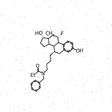 CCC(=O)N(CCCC[C@@H]1Cc2cc(O)ccc2C2C1C1CC[C@H](O)[C@@]1(C)C[C@@H]2F)Cc1ccccc1